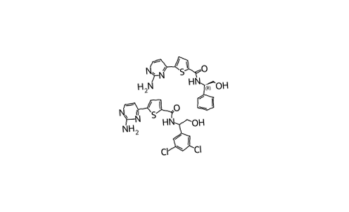 Nc1nccc(-c2ccc(C(=O)NC(CO)c3cc(Cl)cc(Cl)c3)s2)n1.Nc1nccc(-c2ccc(C(=O)N[C@@H](CO)c3ccccc3)s2)n1